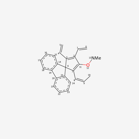 C=CC1=C(C=C)C2(C(/C=C\C)=C1ONC)c1ccccc1-c1ccccc12